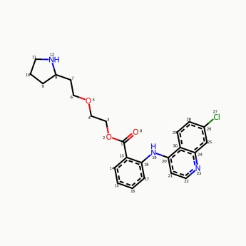 O=C(OCCOCCC1CCCN1)c1ccccc1Nc1ccnc2cc(Cl)ccc12